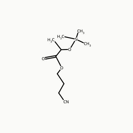 CC(O[Si](C)(C)C)C(=O)OCCCC#N